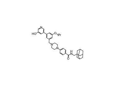 CC(C)Oc1cc(CN2CCN(c3ccc(C(=O)NCC45CC6CC(CC(C6)C4)C5)cc3)CC2)cc(-c2cncc(O)c2)c1